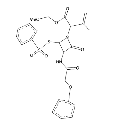 C=C(C)C(C(=O)OCOC)N1C(=O)C(NC(=O)COc2ccccc2)C1SS(=O)(=O)c1ccccc1